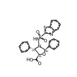 O=C(O)[C@@H]1O[C@H](c2ccccc2)N(NS(=O)(=O)c2nc3ccccc3s2)[C@H]1c1ccccc1